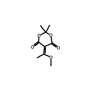 COC(C)=C1C(=O)OC(C)(C)OC1=O